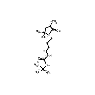 CC1CC(C)(C)[C@@H](CCCCNC(=O)OC(C)(C)C)C1=O